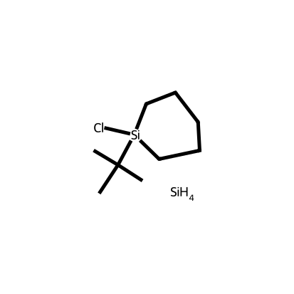 CC(C)(C)[Si]1(Cl)CCCCC1.[SiH4]